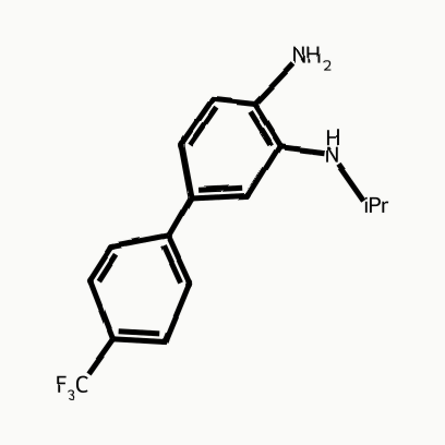 CC(C)Nc1cc(-c2ccc(C(F)(F)F)cc2)ccc1N